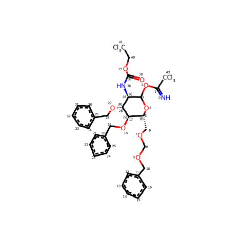 N=C(OC1O[C@H](COCOCc2ccccc2)[C@@H](OCc2ccccc2)[C@H](OCc2ccccc2)[C@H]1NC(=O)OCC(Cl)(Cl)Cl)C(Cl)(Cl)Cl